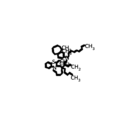 C=C/C=C(\C=C\N(C\C=C/C=C/C=C\C=C/C)c1ccc2c(c1)C(C)(C)C/C=C\C=C/C2)C1(C/C=C\C=C/C)/C=C/C=C\C=C\N2C(=C\1C)/C(=C\C)Sc1ccccc12